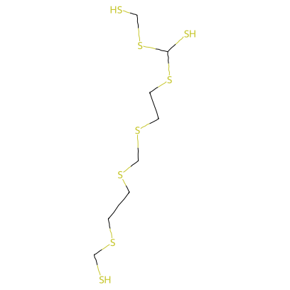 SCSCCSCSCCSC(S)SCS